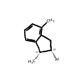 CC(=O)[C@H]1Cc2c(C)cccc2[C@H]1C